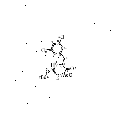 COC(=O)[C@H](Cc1cc(Cl)cc(Cl)c1)NC(=O)OC(C)(C)C